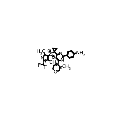 Cc1nn(C(F)F)c(C)c1S(=O)(=O)C1(c2cc(N3CCOC[C@@H]3C)nc(-c3ccc(N)cc3)n2)CC1